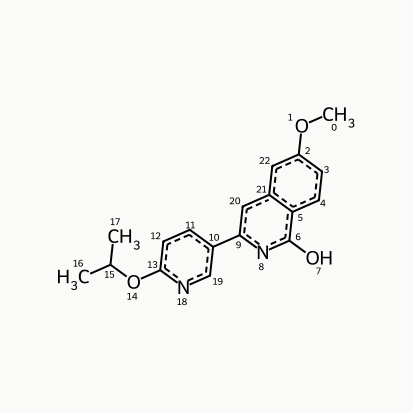 COc1ccc2c(O)nc(-c3ccc(OC(C)C)nc3)cc2c1